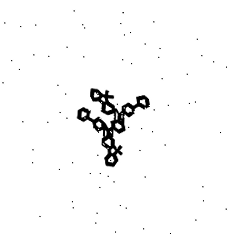 CC1(C)c2ccccc2-c2ccc(N(c3ccc(-c4ccccc4)cc3)c3cccc(N(c4ccc(-c5ccccc5)cc4)c4ccc5c(c4)C(C)(C)c4ccccc4-5)c3)cc21